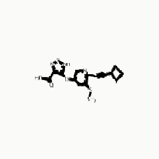 CSc1cc(Oc2[nH]nnc2C(=O)O)cnc1C#CC1CCC1